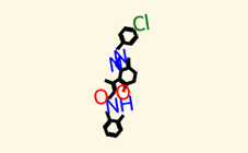 Cc1ccccc1CNC(=O)c1oc2c(c1C)-c1nn(Cc3ccc(Cl)cc3)cc1CC2